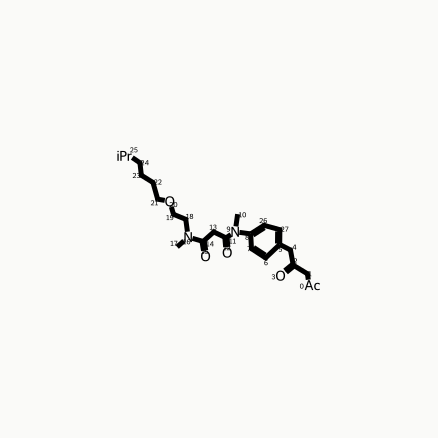 CC(=O)CC(=O)Cc1ccc(N(C)C(=O)CC(=O)N(C)CCOCCCCC(C)C)cc1